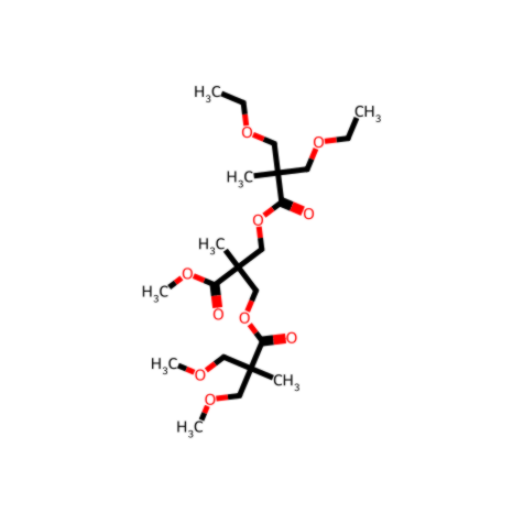 CCOCC(C)(COCC)C(=O)OCC(C)(COC(=O)C(C)(COC)COC)C(=O)OC